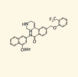 COc1cc(NC(=O)c2ccc(COc3ccccc3C(F)(F)F)cc2C2=CCNCC2)cc2ccccc12